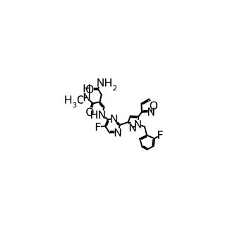 CNC(=O)/C(=C\Nc1nc(-c2cc(-c3ccon3)n(Cc3ccccc3F)n2)ncc1F)CC(N)=O